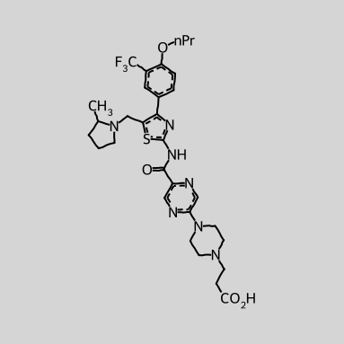 CCCOc1ccc(-c2nc(NC(=O)c3cnc(N4CCN(CCC(=O)O)CC4)cn3)sc2CN2CCCC2C)cc1C(F)(F)F